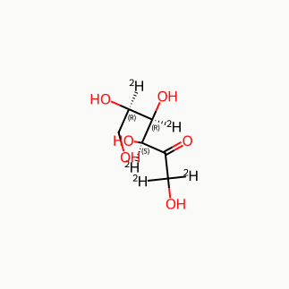 [2H]C([2H])(O)C(=O)[C@@]([2H])(O)[C@]([2H])(O)[C@]([2H])(O)CO